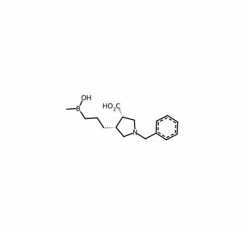 CB(O)CCC[C@H]1CN(Cc2ccccc2)C[C@H]1C(=O)O